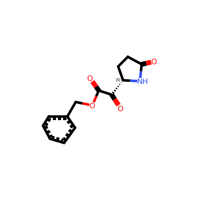 O=C1CC[C@@H](C(=O)C(=O)OCc2ccccc2)N1